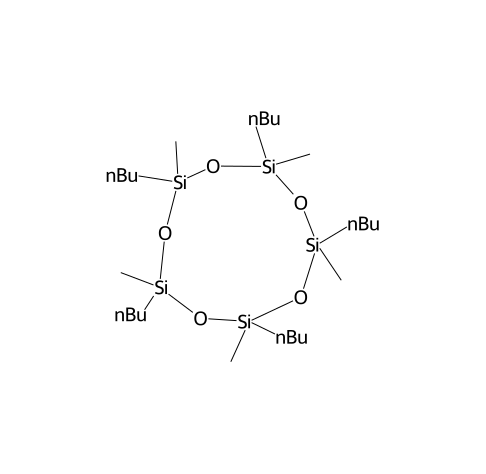 CCCC[Si]1(C)O[Si](C)(CCCC)O[Si](C)(CCCC)O[Si](C)(CCCC)O[Si](C)(CCCC)O1